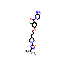 CC(C)c1noc(N2CCC(CCCOc3ccc(C(=O)N4CCCC(N)C4)c(F)c3)CC2)n1